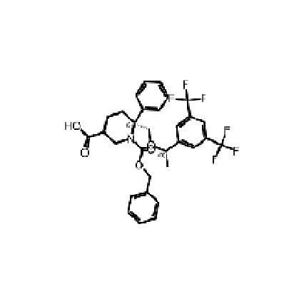 C[C@@H](OC[C@@]1(c2ccccc2)CCC(C(=O)O)CN1C(=O)OCc1ccccc1)c1cc(C(F)(F)F)cc(C(F)(F)F)c1